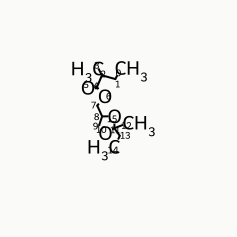 CCC(C)C(=O)OCC1COC(C)(CC)O1